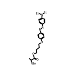 CCN(CC)c1ccc(N=Nc2ccc(OCCCCOC(=O)C(C)C(C)(C)C)cc2)cc1